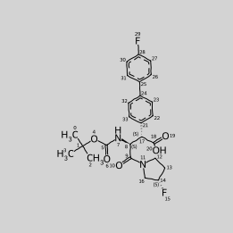 CC(C)(C)OC(=O)N[C@H](C(=O)N1CC[C@H](F)C1)[C@@H](C(=O)O)c1ccc(-c2ccc(F)cc2)cc1